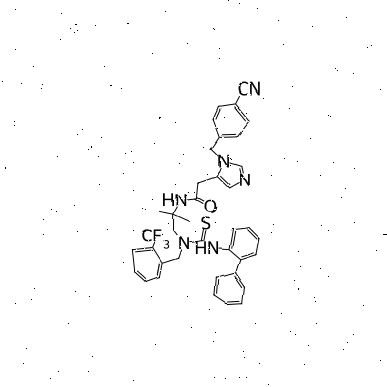 CC(C)(CN(Cc1ccccc1C(F)(F)F)C(=S)Nc1ccccc1-c1ccccc1)NC(=O)Cc1cncn1Cc1ccc(C#N)cc1